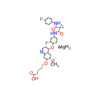 COc1cc2c(Oc3ccc(NC(=O)C4(C(=O)Nc5ccc(F)cc5)CC4)cc3F)ccnc2cc1OCCCCC(=O)O.[MgH2]